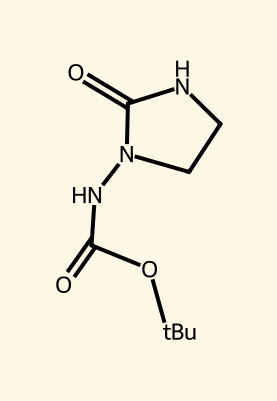 CC(C)(C)OC(=O)NN1CCNC1=O